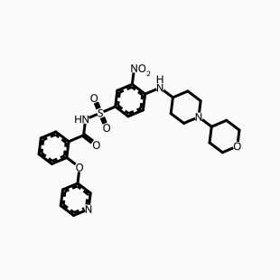 O=C(NS(=O)(=O)c1ccc(NC2CCN(C3CCOCC3)CC2)c([N+](=O)[O-])c1)c1ccccc1Oc1cccnc1